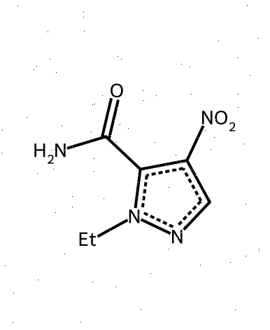 CCn1ncc([N+](=O)[O-])c1C(N)=O